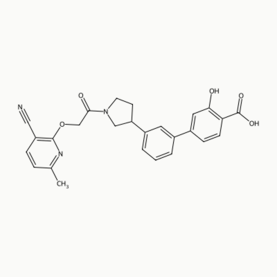 Cc1ccc(C#N)c(OCC(=O)N2CCC(c3cccc(-c4ccc(C(=O)O)c(O)c4)c3)C2)n1